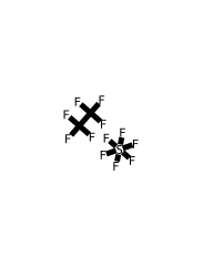 FC(F)(F)C(F)(F)F.FS(F)(F)(F)(F)F